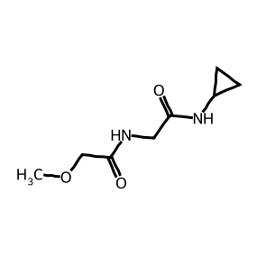 COCC(=O)NCC(=O)NC1CC1